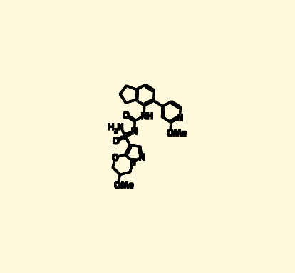 COc1cc(-c2ccc3c(c2NC(=O)N=S(N)(=O)c2cnn4c2OCC(OC)C4)CCC3)ccn1